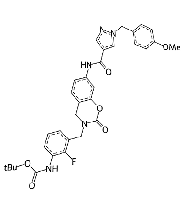 COc1ccc(Cn2cc(C(=O)Nc3ccc4c(c3)OC(=O)N(Cc3cccc(NC(=O)OC(C)(C)C)c3F)C4)cn2)cc1